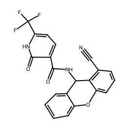 N#Cc1cccc2c1C(NC(=O)c1ccc(C(F)(F)F)[nH]c1=O)c1ccccc1O2